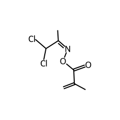 C=C(C)C(=O)ON=C(C)C(Cl)Cl